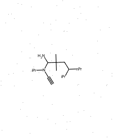 C#CN(C(C)C)C(N)C(C)(C)CC(CCC)C(C)C